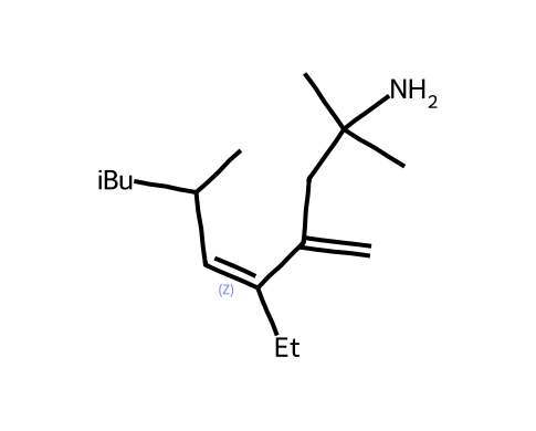 C=C(CC(C)(C)N)/C(=C\C(C)C(C)CC)CC